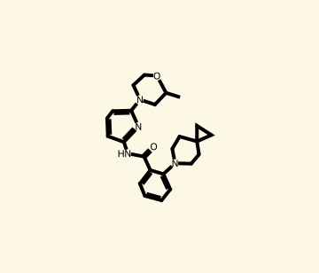 CC1CN(c2cccc(NC(=O)c3ccccc3N3CCC4(CC3)CC4)n2)CCO1